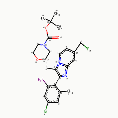 Cc1cc(Br)cc(P)c1-c1nc2cc(CF)ccn2c1C[C@H]1CN(C(=O)OC(C)(C)C)CCO1